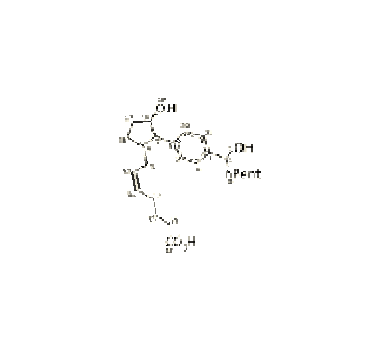 CCCCCC(O)c1ccc(C2[C@@H](C/C=C\CCCC(=O)O)CC[C@H]2O)cc1